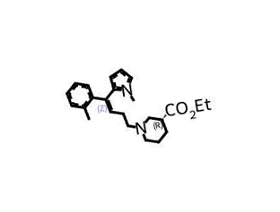 CCOC(=O)[C@@H]1CCCN(CC/C=C(/c2ccccc2C)c2cccn2C)C1